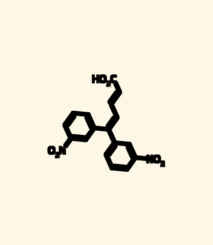 O=C(O)/C=C/C=C(c1cccc([N+](=O)[O-])c1)c1cccc([N+](=O)[O-])c1